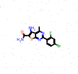 Cc1nc(-c2ccc(Br)cc2F)nc2sc(C(N)=O)c(N)c12